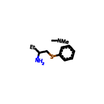 CCC(N)CSc1ccccc1.CNC